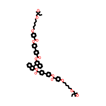 CCC1(COCCCCCCOc2ccc(C(=O)Oc3ccc(-c4ccc(C(=O)Oc5cc(-c6c(OC(=O)c7ccc(-c8ccc(OC(=O)c9ccc(OCCCCCCOCC%10(CC)COC%10)cc9)cc8)cc7)ccc7ccccc67)c6ccccc6c5)cc4)cc3)cc2)COC1